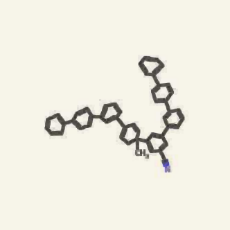 CC1(c2cc(C#N)cc(-c3cccc(-c4ccc(-c5ccccc5)cc4)c3)c2)C=CC(c2cccc(-c3ccc(-c4ccccc4)cc3)c2)=CC1